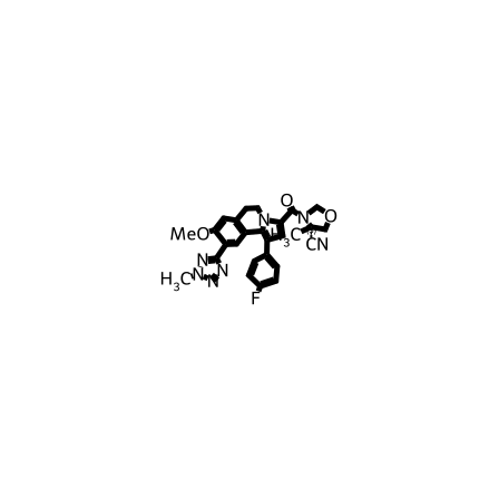 COc1cc2c(cc1-c1nnn(C)n1)-c1c(-c3ccc(F)cc3)cc(C(=O)N3COC[C@]3(C)C#N)n1CC2